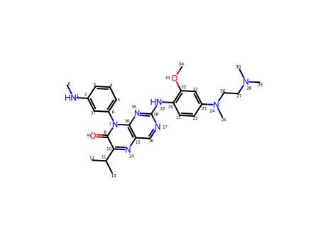 CNc1cccc(-n2c(=O)c(C(C)C)nc3cnc(Nc4ccc(N(C)CCN(C)C)cc4OC)nc32)c1